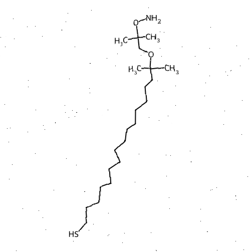 CC(C)(COC(C)(C)CCCCCCCCCCCCCCCS)ON